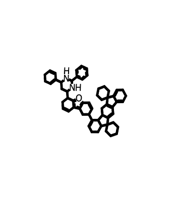 C1=CC(C2CC(C3CC=Cc4c3oc3c4CC(C4=CCCC5C4C4CC6=C(C=C4C54CCCCC4)C4=CCCC=C4C64CCCCC4)C=C3)NC(c3ccccc3)N2)=CCC1